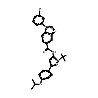 CC(C)Oc1ccc(-c2cc(NC(=O)c3ccc4c(c3)ncn4-c3cccc(F)c3)n(C(C)(C)C)n2)cc1